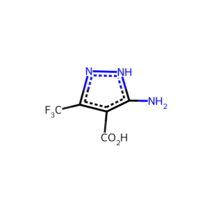 Nc1[nH]nc(C(F)(F)F)c1C(=O)O